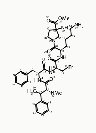 CN[C@@H](C(=O)N[C@H](Cc1ccccc1)C(=O)N[C@H](CC(C)C)C(=O)N[C@H](CCCCN)C(=O)N1CCC(N)(C(=O)OC)C1)[C@H](C)c1ccccc1